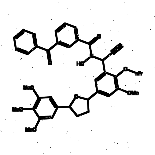 C#CC(c1cc(C2CCC(c3cc(OC)c(OC)c(OC)c3)O2)cc(OC)c1OCCC)N(O)C(=O)c1cccc(C(=O)c2ccccc2)c1